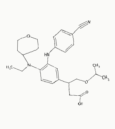 CCN(c1ccc(C(COC(C)C)CC(=O)O)cc1Nc1ccc(C#N)cc1)C1CCOCC1